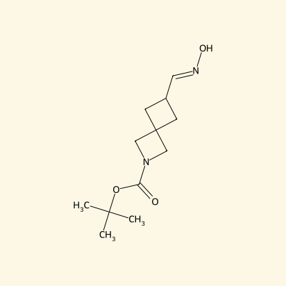 CC(C)(C)OC(=O)N1CC2(CC(/C=N/O)C2)C1